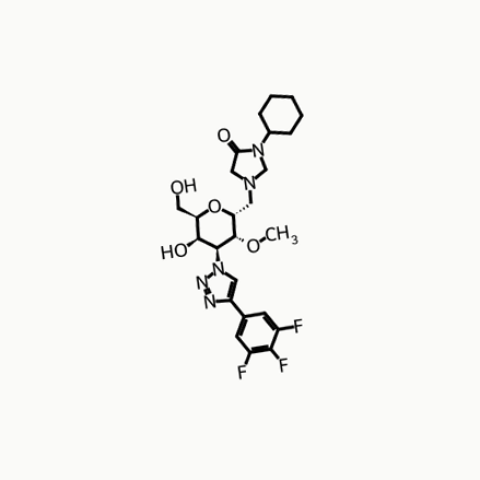 CO[C@@H]1[C@@H](n2cc(-c3cc(F)c(F)c(F)c3)nn2)[C@@H](O)[C@@H](CO)O[C@@H]1CN1CC(=O)N(C2CCCCC2)C1